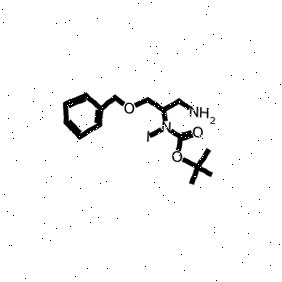 CC(C)(C)OC(=O)N(I)C(CN)COCc1ccccc1